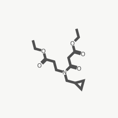 CCOC(=O)CCN(CC1CC1)C(=O)CC(=O)OCC